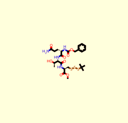 COC(=O)[C@H](CSSSC(C)(C)C)NC(=O)[C@@H](NC(=O)[C@H](CCC(N)=O)NC(=O)OCc1ccccc1)[C@@H](C)O